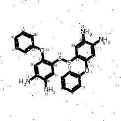 Nc1cc(Oc2ccccc2)c(SSc2cc(N)c(N)cc2Oc2ccccc2)cc1N